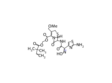 C=CC(C)(C)C(=O)OCOC(=O)C1=C(COC)CS[C@@H]2C(NC(=O)/C(=N\O)c3csc(N)n3)C(=O)N12